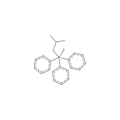 CC(C)CP(I)(c1ccccc1)(c1ccccc1)c1ccccc1